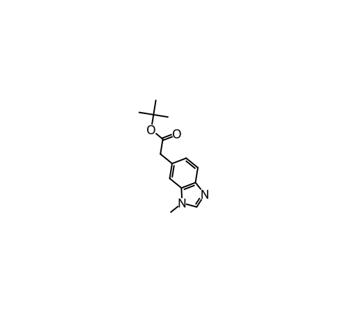 Cn1cnc2ccc(CC(=O)OC(C)(C)C)cc21